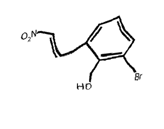 O=[N+]([O-])/C=C/c1cccc(Br)c1O